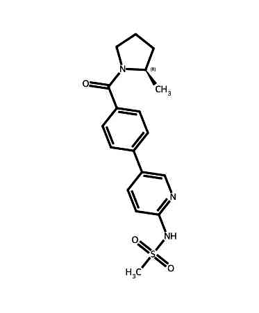 C[C@@H]1CCCN1C(=O)c1ccc(-c2ccc(NS(C)(=O)=O)nc2)cc1